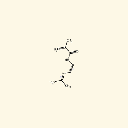 C=C(C)C(=O)N/N=C\N=C(/C)N